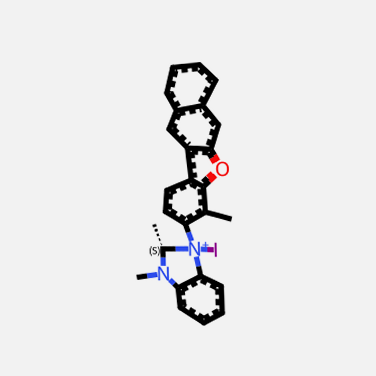 Cc1c([N+]2(I)c3ccccc3N(C)[C@@H]2C)ccc2c1oc1cc3ccccc3cc12